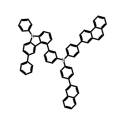 c1ccc(-c2ccc3c(c2)c2c(-c4cccc(N(c5ccc(-c6ccc7ccccc7c6)cc5)c5ccc(-c6ccc7c(ccc8ccccc87)c6)cc5)c4)cccc2n3-c2ccccc2)cc1